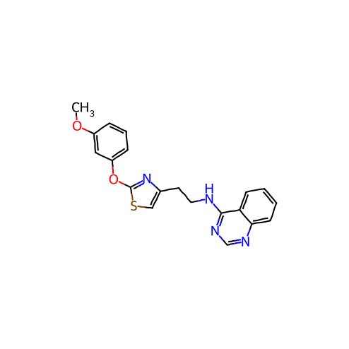 COc1cccc(Oc2nc(CCNc3ncnc4ccccc34)cs2)c1